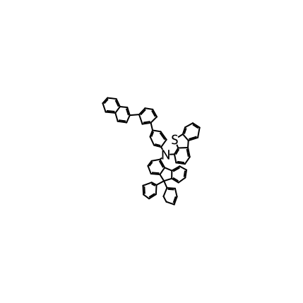 C1=CCCC(C2(c3ccccc3)c3ccccc3-c3c(N(c4ccc(-c5cccc(-c6ccc7ccccc7c6)c5)cc4)c4cccc5c4sc4ccccc45)cccc32)=C1